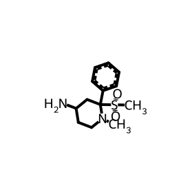 CN1CCC(N)CC1(c1ccccc1)S(C)(=O)=O